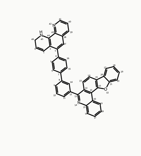 C1=Cc2c(-c3ccc(-c4cccc(-c5nc6ccccc6c6c5ccc5c7ccccc7oc56)c4)cc3)cc3cccnc3c2NC1